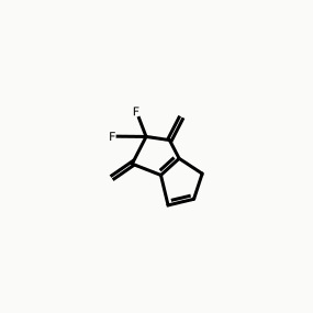 C=C1C2=C(CC=C2)C(=C)C1(F)F